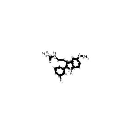 COc1ccc2[nH]c(-c3cccc(F)c3)c(CCNC(C)=O)c2c1